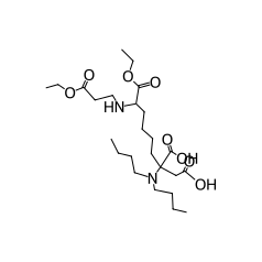 CCCCN(CCCC)C(CCCCC(NCCC(=O)OCC)C(=O)OCC)(CC(=O)O)C(=O)O